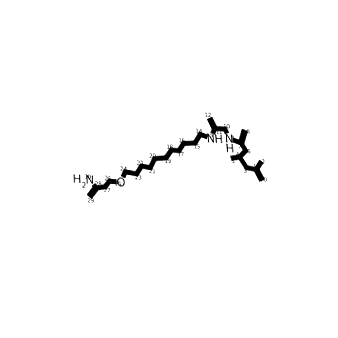 C=C(C)CC(C)CC(=C)NCC(=C)NCCCCCCCCCCCOCCC(=C)N